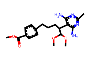 COC(=O)c1ccc(CCCC(c2c(N)nc(C)nc2N)C(OC)OC)cc1